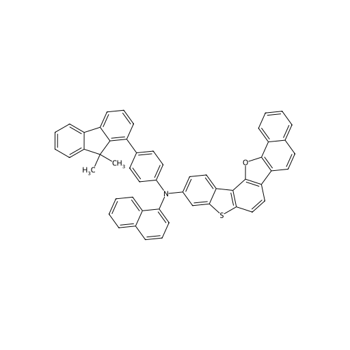 CC1(C)c2ccccc2-c2cccc(-c3ccc(N(c4ccc5c(c4)sc4ccc6c7ccc8ccccc8c7oc6c45)c4cccc5ccccc45)cc3)c21